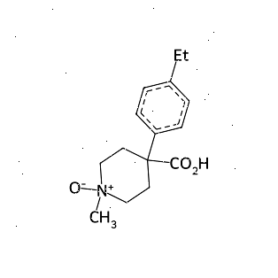 CCc1ccc(C2(C(=O)O)CC[N+](C)([O-])CC2)cc1